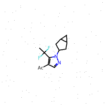 CC(=O)c1cnn(C2CC3CC3C2)c1C(C)(F)F